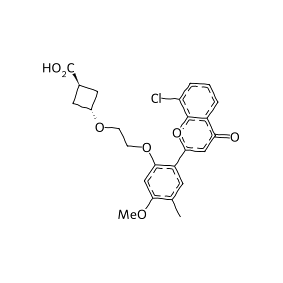 COc1cc(OCCO[C@H]2C[C@H](C(=O)O)C2)c(-c2cc(=O)c3cccc(Cl)c3o2)cc1C